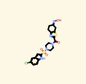 O=C(c1nc2c(s1)CC(=NO)CC2)N1CCN(S(=O)(=O)c2cc3cc(Cl)ccc3[nH]2)CC1